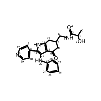 CC(O)C(=O)NCC1CC(=O)c2c([nH]c(-c3ccncc3)c2Nc2ccccc2)C1